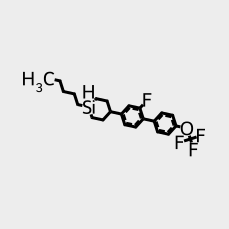 CCCCC[SiH]1CCC(c2ccc(-c3ccc(OC(F)(F)F)cc3)c(F)c2)CC1